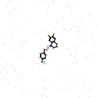 Cc1cc2c(cc1C)/C(=N/OCc1ccc([N+](=O)[O-])cc1)CCC2